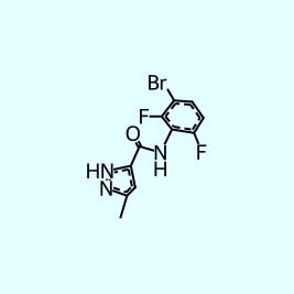 Cc1cc(C(=O)Nc2c(F)ccc(Br)c2F)[nH]n1